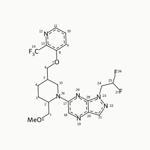 COCC1CCC(COc2cccnc2C(F)(F)F)CN1c1cnc2cnn(CC(F)F)c2n1